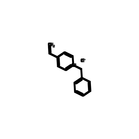 C=Cc1cc[n+](Cc2ccccc2)cc1.[Cl-]